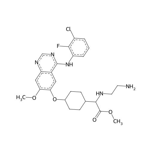 COC(=O)C(NCCN)C1CCC(Oc2cc3c(Nc4cccc(Cl)c4F)ncnc3cc2OC)CC1